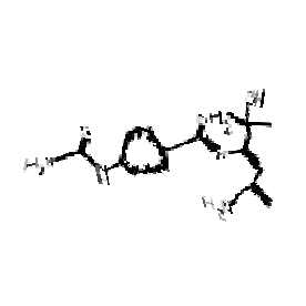 C=C(N)/C=C(\N=C(/N)c1ccc(NC(N)=S)cc1)C(C)(C)O